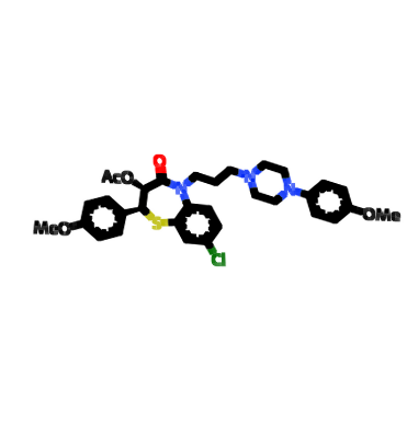 COc1ccc([C@@H]2Sc3cc(Cl)ccc3N(CCCN3CCN(c4ccc(OC)cc4)CC3)C(=O)[C@@H]2OC(C)=O)cc1